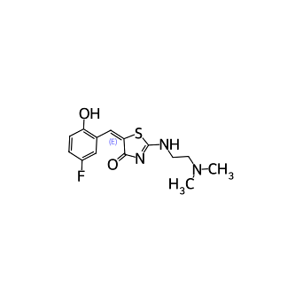 CN(C)CCNC1=NC(=O)/C(=C\c2cc(F)ccc2O)S1